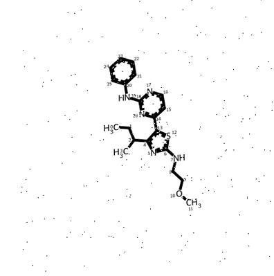 CCC(C)c1nc(NCCOC)sc1-c1ccnc(Nc2ccccc2)n1